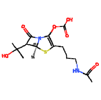 CC(=O)NCCCC1=C(OC(=O)O)N2C(=O)C(C(C)(C)O)[C@@H]2S1